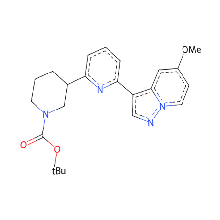 COc1ccn2ncc(-c3cccc(C4CCCN(C(=O)OC(C)(C)C)C4)n3)c2c1